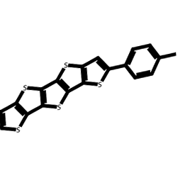 Cc1ccc(-c2cc3sc4c(sc5c6sccc6sc54)c3s2)cc1